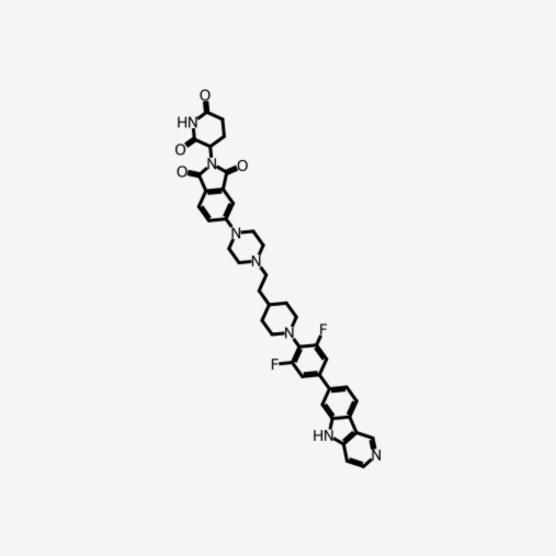 O=C1CCC(N2C(=O)c3ccc(N4CCN(CCC5CCN(c6c(F)cc(-c7ccc8c(c7)[nH]c7ccncc78)cc6F)CC5)CC4)cc3C2=O)C(=O)N1